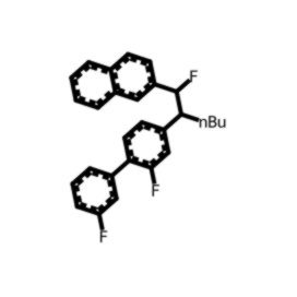 CCCCC(c1ccc(-c2cccc(F)c2)c(F)c1)C(F)c1ccc2ccccc2c1